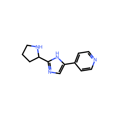 c1cc(-c2cnc(C3CCCN3)[nH]2)ccn1